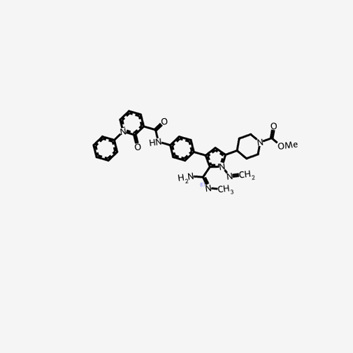 C=Nn1c(C2CCN(C(=O)OC)CC2)cc(-c2ccc(NC(=O)c3cccn(-c4ccccc4)c3=O)cc2)c1/C(N)=N\C